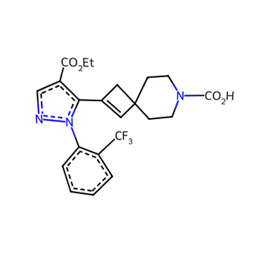 CCOC(=O)c1cnn(-c2ccccc2C(F)(F)F)c1C1=CC2(CCN(C(=O)O)CC2)C1